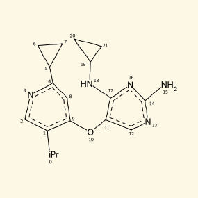 CC(C)c1cnc(C2CC2)cc1Oc1cnc(N)nc1NC1CC1